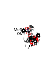 C=CC1O[C@H]2C[C@H]3OC[C@@]3(OC(C)=O)[C@H]3[C@H](OC(=O)c4ccccc4)[C@]4(C(C)(C)O)C[C@H](OC(=O)[C@@H]5OC(c6ccc(OC)cc6OC)N(C(=O)OC(C)(C)C)[C@H]5CC(C)C)C(C)=C4[C@H](OC(C)=O)[C@H](O1)[C@]23C